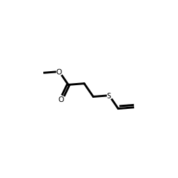 C=CSCCC(=O)OC